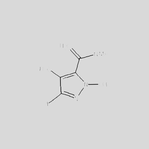 C=C(NC)c1c(C)c(I)nn1C